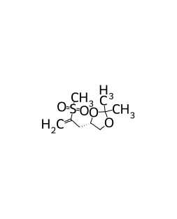 C=C(C[C@H]1COC(C)(C)O1)S(C)(=O)=O